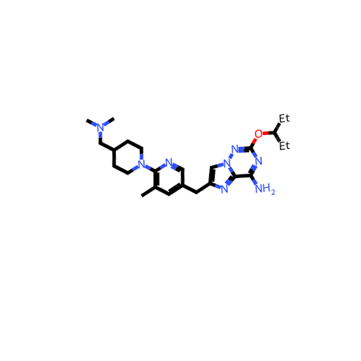 CCC(CC)Oc1nc(N)c2nc(Cc3cnc(N4CCC(CN(C)C)CC4)c(C)c3)cn2n1